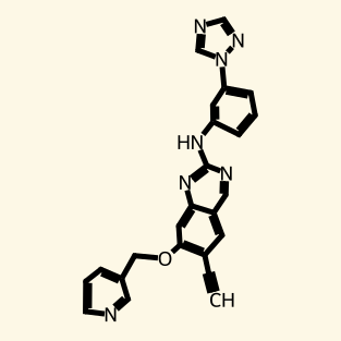 C#Cc1cc2cnc(Nc3cccc(-n4cncn4)c3)nc2cc1OCc1cccnc1